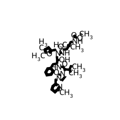 CCC(C)C(C(=O)NC(Cc1ccccc1)C(O)CN(Cc1cc(C)c(C)o1)NC(=O)CC(C)(C)CNC(=O)OC)N1CCN(Cc2cccc(C)n2)C1=O